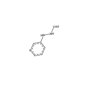 O=CNNc1cccnc1